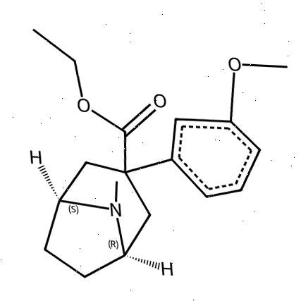 CCOC(=O)C1(c2cccc(OC)c2)C[C@H]2CC[C@@H](C1)N2C